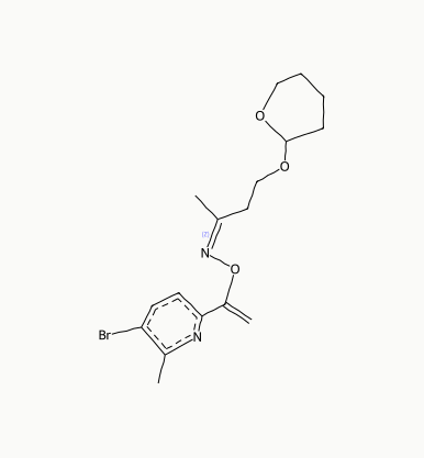 C=C(O/N=C(/C)CCOC1CCCCO1)c1ccc(Br)c(C)n1